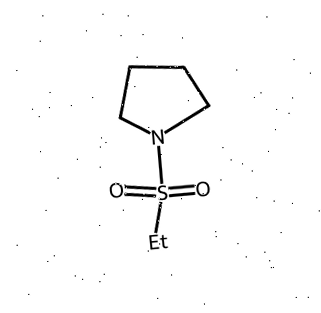 CCS(=O)(=O)N1CCCC1